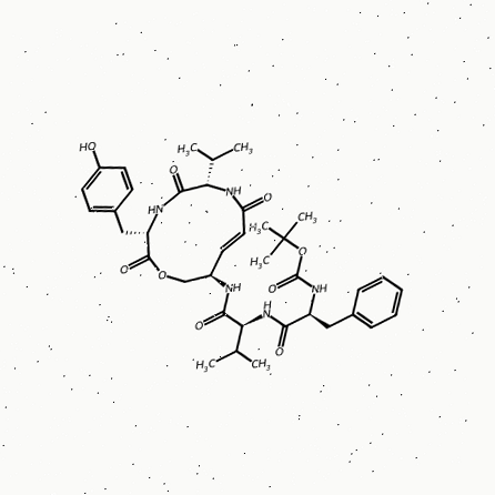 CC(C)[C@@H]1NC(=O)/C=C/[C@@H](NC(=O)[C@@H](NC(=O)[C@H](Cc2ccccc2)NC(=O)OC(C)(C)C)C(C)C)COC(=O)[C@H](Cc2ccc(O)cc2)NC1=O